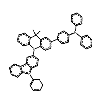 CC1(C)c2ccccc2N(c2ccc3c(c2)c2ccccc2n3C2=CC=CCC2)c2ccc(-c3ccc(N(c4ccccc4)c4ccccc4)cc3)cc21